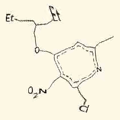 CCC(CC)Oc1cc(C)nc(Cl)c1[N+](=O)[O-]